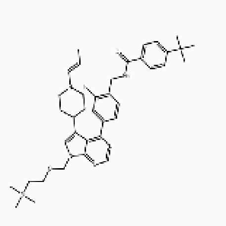 CC=CN1CCC(c2cn(COCC[Si](C)(C)C)c3ncnc(-c4ccc(CNC(=O)c5ccc(C(C)(C)C)cc5)c(F)c4)c23)CC1